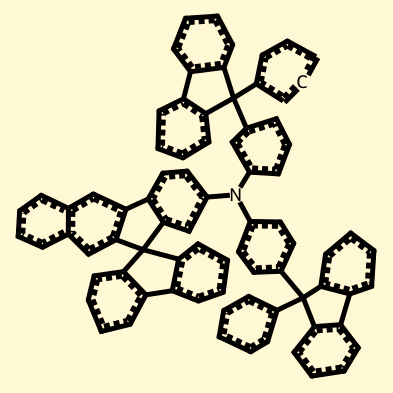 c1ccc(C2(c3ccc(N(c4cccc(C5(c6ccccc6)c6ccccc6-c6ccccc65)c4)c4ccc5c(c4)C4(c6ccccc6-c6ccccc64)c4cc6ccccc6cc4-5)cc3)c3ccccc3-c3ccccc32)cc1